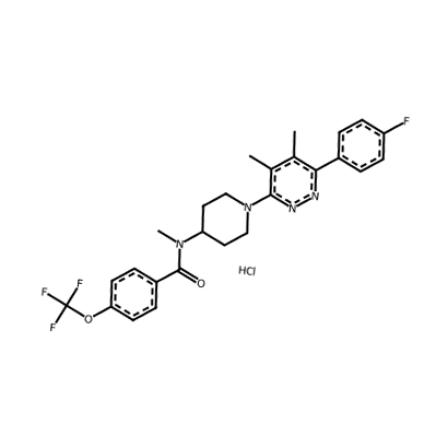 Cc1c(-c2ccc(F)cc2)nnc(N2CCC(N(C)C(=O)c3ccc(OC(F)(F)F)cc3)CC2)c1C.Cl